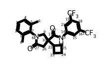 Cc1cccc(C)c1N1CC(C(=O)Nc2cc(C(F)(F)F)cc(C(F)(F)F)c2)(C2CCC2)CC1=O